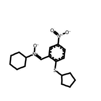 O=[N+]([O-])c1ccc(SC2CCCC2)c(C=[N+]([O-])C2CCCCC2)c1